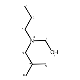 CCCN(CO)CC(C)C